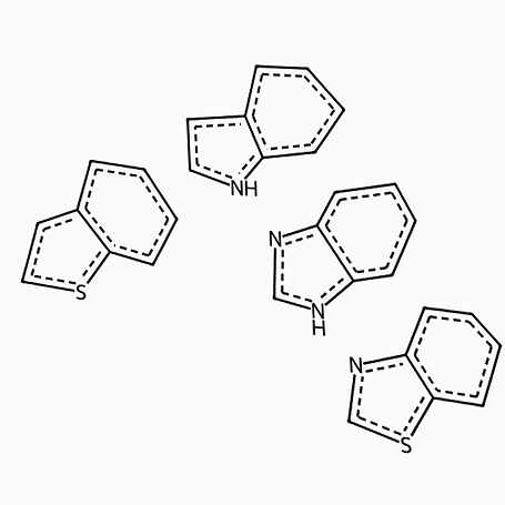 c1ccc2[nH]ccc2c1.c1ccc2[nH]cnc2c1.c1ccc2sccc2c1.c1ccc2scnc2c1